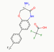 N[C@H]1COc2cc(-c3ccc(C(F)(F)F)cc3)ccc2NC1=O.O=C(O)C(F)(F)F